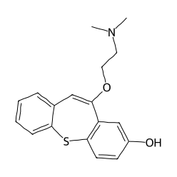 CN(C)CCOC1=Cc2ccccc2Sc2ccc(O)cc21